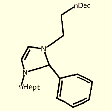 CCCCCCCCCCCCN1C=CN(CCCCCCC)C1c1ccccc1